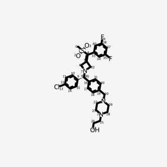 CS(=O)(=O)C(=C1CN([C@@H](c2ccc(Cl)cc2)c2ccc(CN3CCN(CCO)CC3)cc2)C1)c1cc(F)cc(F)c1